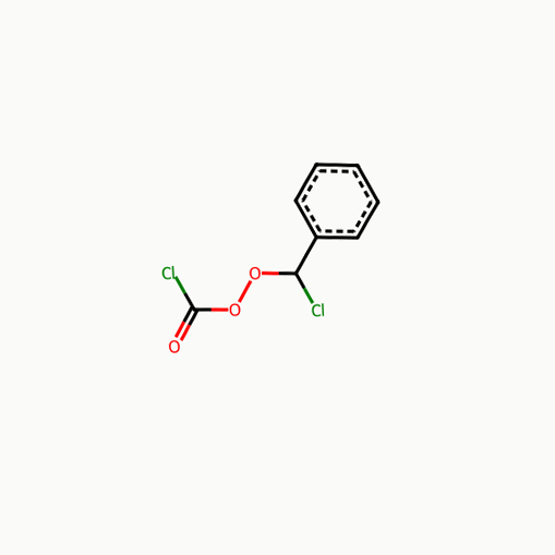 O=C(Cl)OOC(Cl)c1ccccc1